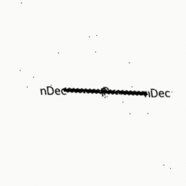 CCCCCCCCCCCCCCCCCCCCCCCCCCCCC[P][P]CCCCCCCCCCCCCCCCCCCCCCCCCCCCC